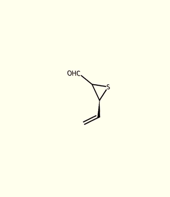 C=C[C@@H]1SC1C=O